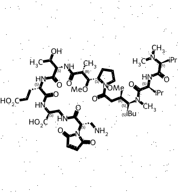 CC[C@H](C)[C@@H]([C@@H](CC(=O)N1CCC[C@H]1C(OC)[C@@H](C)C(=O)N[C@H](C(=O)N[C@@H](CCC(=O)O)C(=O)N[C@@H](CNC(=O)[C@H](CN)N1C(=O)C=CC1=O)C(=O)O)C(C)O)OC)N(C)C(=O)[C@@H](NC(=O)[C@H](C(C)C)N(C)C)C(C)C